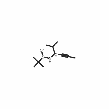 CC#C[C@@H](N[S+]([O-])C(C)(C)C)C(C)C